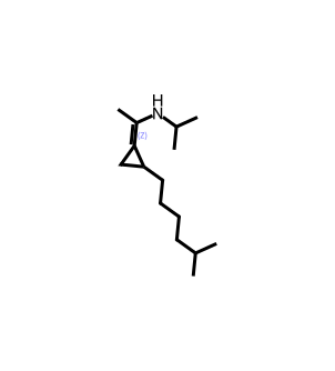 C/C(NC(C)C)=C1\CC1CCCCC(C)C